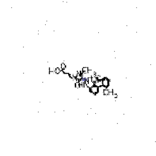 CC1=NN(CCCC(=O)O)C(=O)/C1=N\Nc1cccc(-c2c(C)cccc2C)c1O